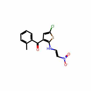 Cc1ccccc1C(=O)c1cc(Cl)sc1NC=C[N+](=O)[O-]